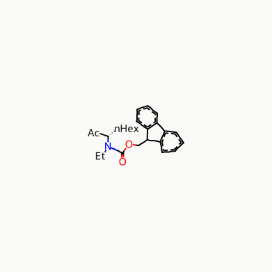 CCCCCC[C@@H](C(C)=O)N(CC)C(=O)OCC1c2ccccc2-c2ccccc21